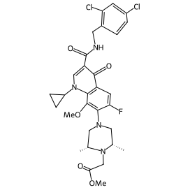 COC(=O)CN1[C@H](C)CN(c2c(F)cc3c(=O)c(C(=O)NCc4ccc(Cl)cc4Cl)cn(C4CC4)c3c2OC)C[C@@H]1C